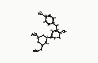 CC(=O)OCC1CC(OC(C)=O)CC(c2ccc(Cl)c(Cc3ccc(O)cc3)c2)O1